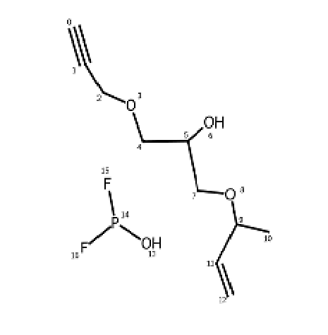 C#CCOCC(O)COC(C)C=C.OP(F)F